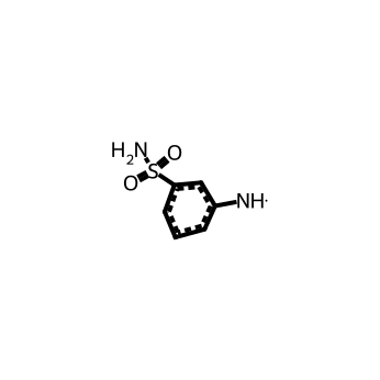 [NH]c1cccc(S(N)(=O)=O)c1